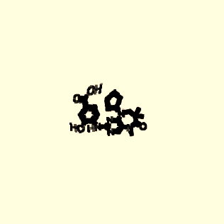 CN1C(=O)C(C)(C)CN(C2CCCC2)c2nc(Nc3ccc(C(=O)O)cc3O)ncc21